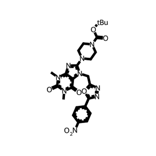 Cn1c(=O)c2c(nc(N3CCN(C(=O)OC(C)(C)C)CC3)n2Cc2nnc(-c3ccc([N+](=O)[O-])cc3)o2)n(C)c1=O